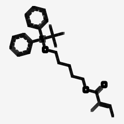 C/C=C(\C)C(=O)OCCCCCO[Si](c1ccccc1)(c1ccccc1)C(C)(C)C